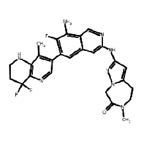 Cc1c(-c2cc3cc(Nc4cc5n(n4)CC(=O)N(C)CC5)ncc3c(N)c2F)cnc2c1NCCC2(F)F